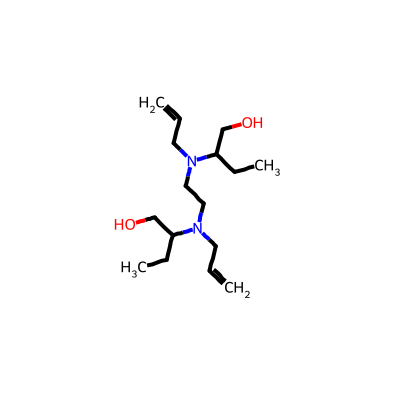 C=CCN(CCN(CC=C)C(CC)CO)C(CC)CO